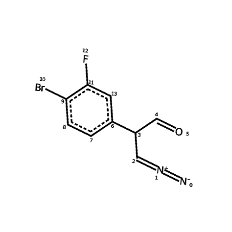 [N-]=[N+]=CC(C=O)c1ccc(Br)c(F)c1